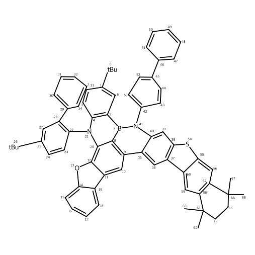 CC(C)(C)c1ccc2c(c1)B1c3c(cc4c(oc5ccccc54)c3N2c2ccc(C(C)(C)C)cc2-c2ccccc2)-c2cc3c(cc2N1c1ccc(-c2ccccc2)cc1)sc1cc2c(cc13)C(C)(C)CCC2(C)C